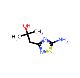 CC(C)(O)Cc1nsc(N)n1